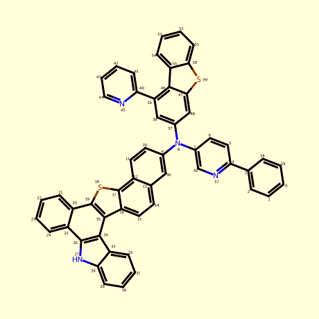 c1ccc(-c2ccc(N(c3ccc4c(ccc5c4sc4c6ccccc6c6[nH]c7ccccc7c6c54)c3)c3cc(-c4ccccn4)c4c(c3)sc3ccccc34)cn2)cc1